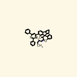 C=C1/C(=C\C=C/C)Oc2ccccc2C12c1ccccc1-c1ccc(-c3cc(-c4ccccc4)nc(-c4ccccc4)n3)cc12